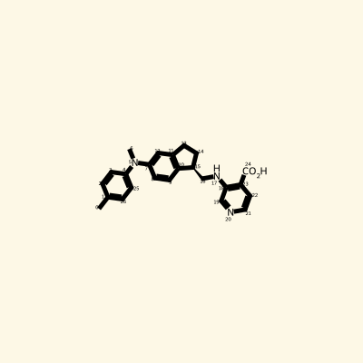 Cc1ccc(N(C)c2ccc3c(c2)CC[C@H]3CNc2cnccc2C(=O)O)cc1